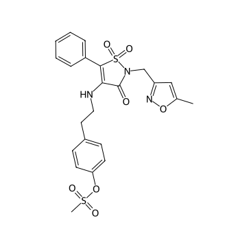 Cc1cc(CN2C(=O)C(NCCc3ccc(OS(C)(=O)=O)cc3)=C(c3ccccc3)S2(=O)=O)no1